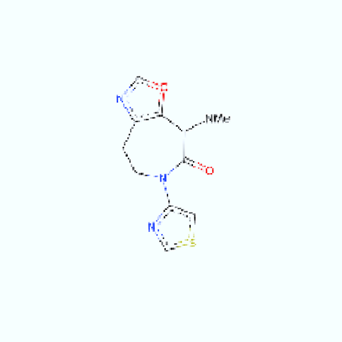 CNC1C(=O)N(c2cscn2)CCc2ncoc21